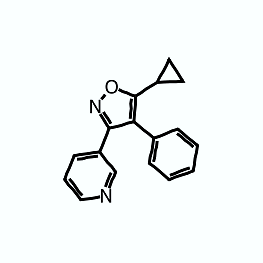 c1ccc(-c2c(-c3cccnc3)noc2C2CC2)cc1